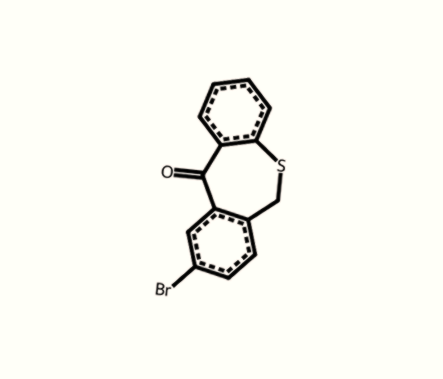 O=C1c2cc(Br)ccc2CSc2ccccc21